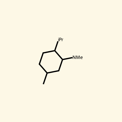 CNC1CC(C)CCC1C(C)C